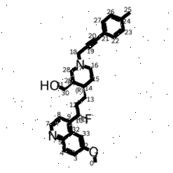 COc1ccc2nccc([C@@H](F)CC[C@@H]3CCN(CC#Cc4ccc(C)cc4)C[C@@H]3CO)c2c1